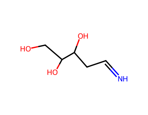 N=CCC(O)C(O)CO